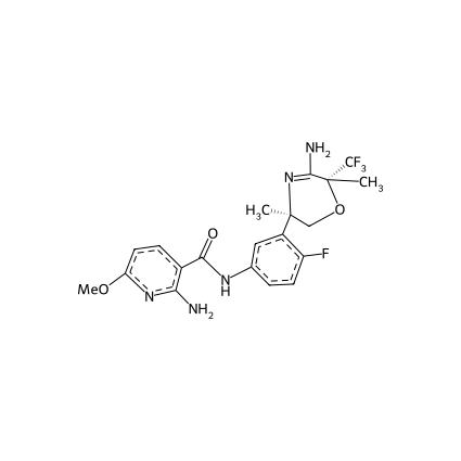 COc1ccc(C(=O)Nc2ccc(F)c([C@]3(C)CO[C@@](C)(C(F)(F)F)C(N)=N3)c2)c(N)n1